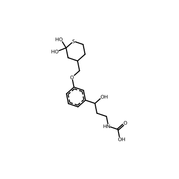 O=C(O)NCCC(O)c1cccc(OCC2CCSC(O)(O)C2)c1